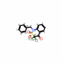 O=C1c2ccccc2N(Cc2ccccc2)S(=O)(=O)C1(Cl)Cl